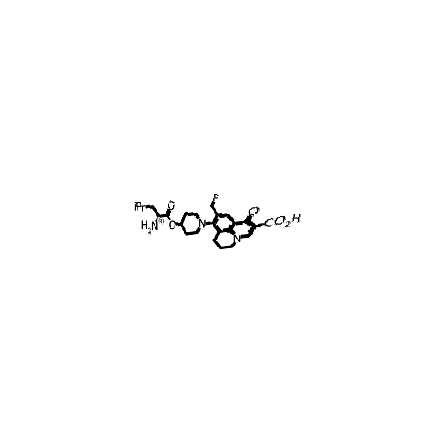 CC(C)C[C@@H](N)C(=O)OC1CCN(c2c(CF)cc3c(=O)c(C(=O)O)cn4c3c2CCC4)CC1